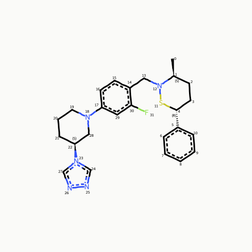 C[C@H]1CC[C@H](c2ccccc2)SN1Cc1ccc(N2CCC[C@H](n3cnnc3)C2)cc1F